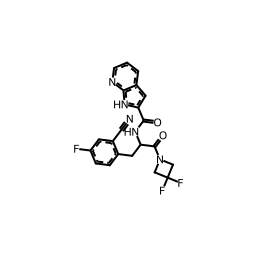 N#Cc1cc(F)ccc1CC(NC(=O)c1cc2cccnc2[nH]1)C(=O)N1CC(F)(F)C1